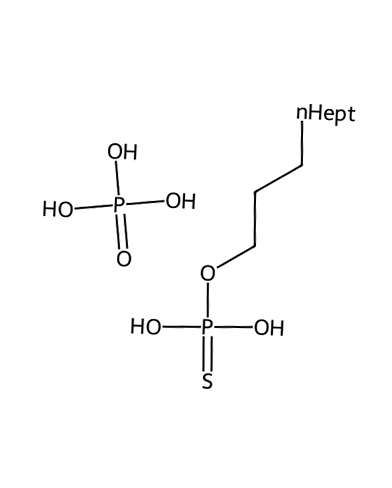 CCCCCCCCCCOP(O)(O)=S.O=P(O)(O)O